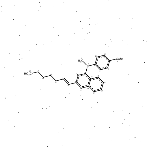 COc1ccc(N(C)c2nc(C=CCCCCC(=O)O)nc3ccccc23)cc1